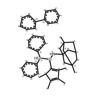 CC1=C(C)C(C)[C]([Zr]([NH]C23CC4CC(C)(CC(C)(C4)C2)C3)[GeH]([c]2ccccc2)[c]2ccccc2)=C1C.c1ccc(-c2ccccc2)cc1